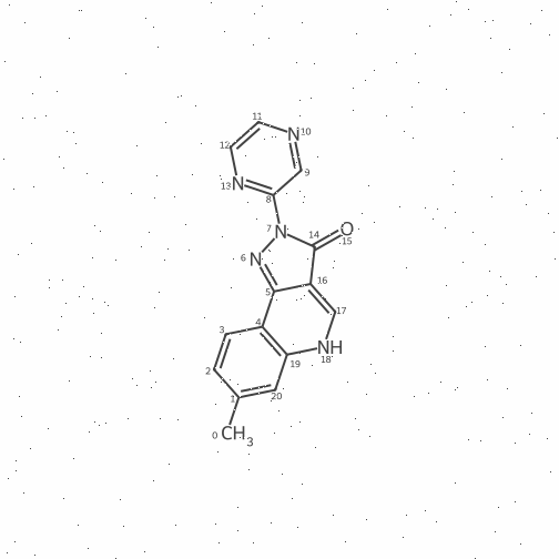 Cc1ccc2c3nn(-c4cnccn4)c(=O)c-3c[nH]c2c1